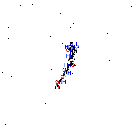 CC(C)(C)OC(=O)NCCOCCNC(=O)CCCNC(=O)c1ccc(NCc2cnc3nc(N)[nH]c(=O)c3n2)cc1